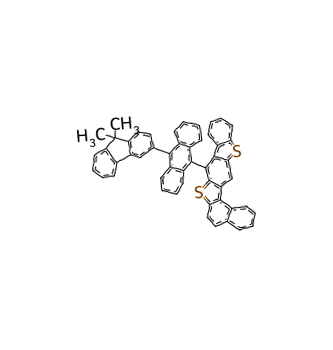 CC1(C)c2ccccc2-c2cc(-c3c4ccccc4c(-c4c5sc6ccc7ccccc7c6c5cc5sc6ccccc6c45)c4ccccc34)ccc21